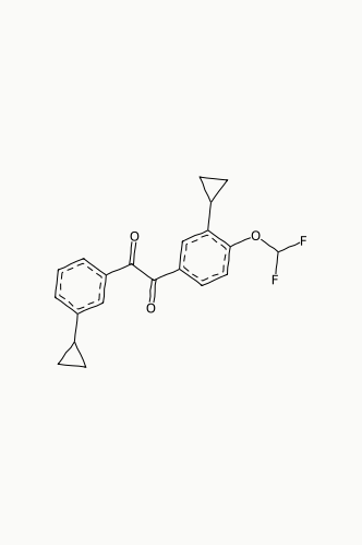 O=C(C(=O)c1ccc(OC(F)F)c(C2CC2)c1)c1cccc(C2CC2)c1